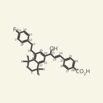 CC1(C)CCC(C)(C)c2c(CCc3ccc(F)cc3)cc(C(O)C=Cc3ccc(C(=O)O)cc3)cc21